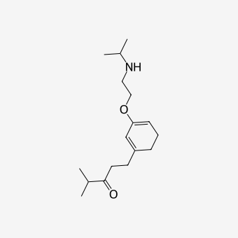 CC(C)NCCOC1=CCCC(CCC(=O)C(C)C)=C1